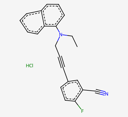 CCN(CC#Cc1ccc(F)c(C#N)c1)c1cccc2ccccc12.Cl